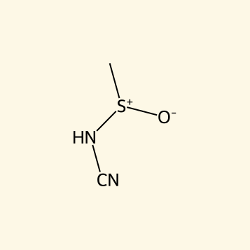 C[S+]([O-])NC#N